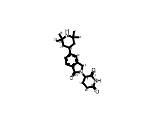 CC1(C)CC(c2ccc3c(c2)CN(C2CCC(=O)NC2=O)C3=O)CC(C)(C)N1